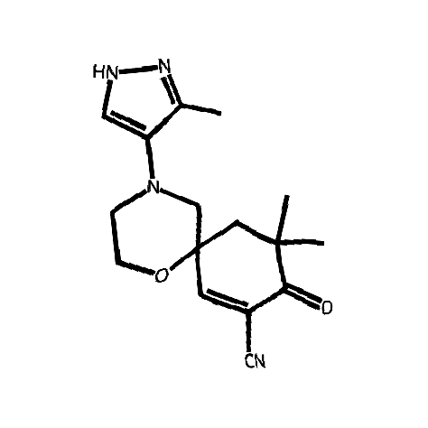 Cc1n[nH]cc1N1CCOC2(C=C(C#N)C(=O)C(C)(C)C2)C1